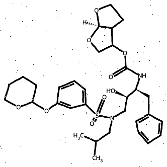 CC(C)CN(C[C@@H](O)[C@H](Cc1ccccc1)NC(=O)OC1CO[C@H]2OCCC12)S(=O)(=O)c1cccc(OC2CCCCO2)c1